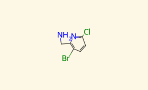 NCc1nc(Cl)ccc1Br